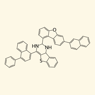 c1ccc(-c2ccc(C3=C4Sc5ccccc5C4NC(c4cccc5oc6cc(-c7ccc8ccccc8c7)ccc6c45)N3)c3ccccc23)cc1